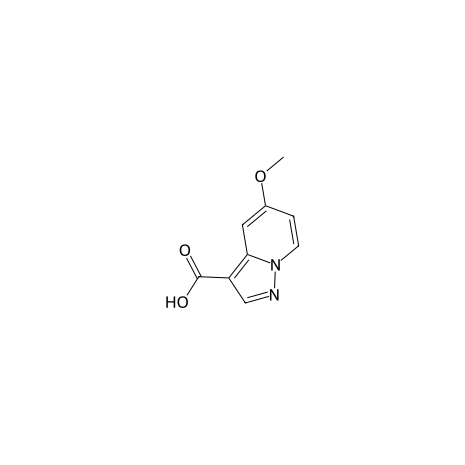 COc1ccn2ncc(C(=O)O)c2c1